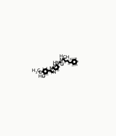 COc1ccc(-c2cnc3ccc(NC(=O)N[C@H](C)CCCc4ccccc4)nc3n2)cc1O